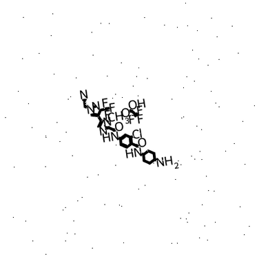 Cn1c(-c2cn(CC#N)nc2C(F)(F)F)cnc1C(=O)Nc1ccc(C(=O)NC2CCC(N)CC2)c(Cl)c1.O=C(O)C(F)(F)F